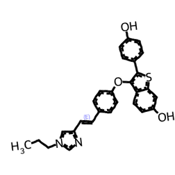 CCCn1cnc(/C=C/c2ccc(Oc3c(-c4ccc(O)cc4)sc4cc(O)ccc34)cc2)c1